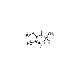 CP(C)(=O)NC(CO)C(=O)O